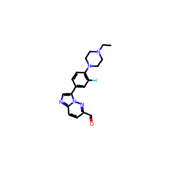 CCN1CCN(c2ccc(-c3cnc4ccc(C=O)nn34)cc2F)CC1